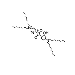 CCCCCCCCN(CCCCCCCC)c1ccc(C2=C(O)/C(=C3\C=CC(=[N+](CCCCCCCC)CCCCCCCC)C=N3)C2=O)c(O)c1